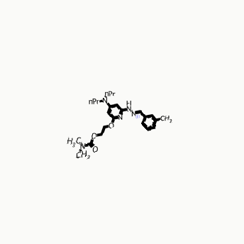 CCCN(CCC)c1cc(N/N=C/c2cccc(C)c2)nc(OCCOC(=O)N(C)C)c1